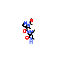 CCCc1cc(C)[nH]c(=O)c1CNC(=O)c1c(C)n(C(C)COC)c2ncccc12